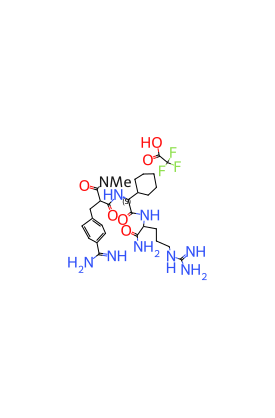 CNC(=O)C(Cc1ccc(C(=N)N)cc1)C(=O)N[C@H](C(=O)NC(CCCNC(=N)N)C(N)=O)C1CCCCC1.O=C(O)C(F)(F)F